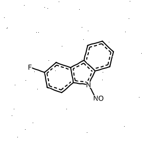 O=Nn1c2ccccc2c2cc(F)ccc21